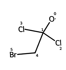 [O]C(Cl)(Cl)CBr